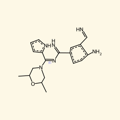 CC1CN(/C(=N/C(=N)c2ccc(N)c(C=N)c2)c2ccc[nH]2)CC(C)O1